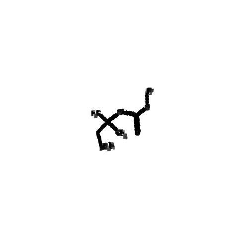 CC(C)OC(=O)OC(CS(=O)(=O)O)(C(F)(F)F)C(F)(F)F